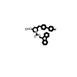 O=CC1CC(=Cc2ccc(-c3ccc(F)cc3)cc2)CN(C(=O)OCC2c3ccccc3-c3ccccc32)C1